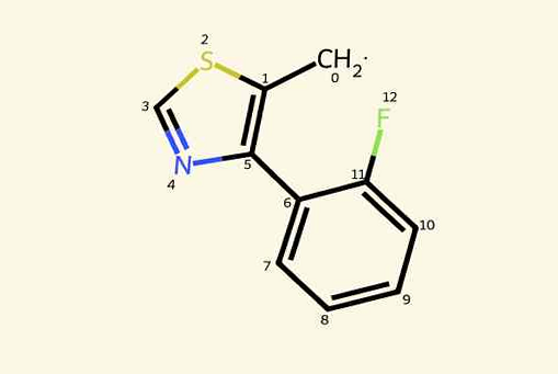 [CH2]c1scnc1-c1ccccc1F